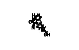 N#Cc1c(N2CCC3(CC2)CC(CO)C3)c2ccncc2[nH]c1=O